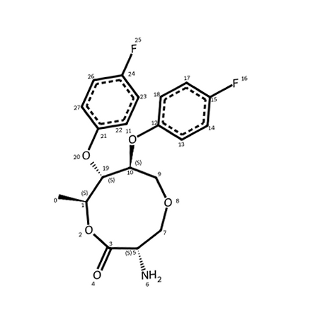 C[C@@H]1OC(=O)[C@@H](N)COC[C@H](Oc2ccc(F)cc2)[C@H]1Oc1ccc(F)cc1